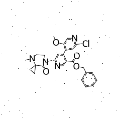 COc1cnc(Cl)cc1-c1cc(N2CCN(C)C3(CC3)C2=O)ncc1C(=O)OCc1ccccc1